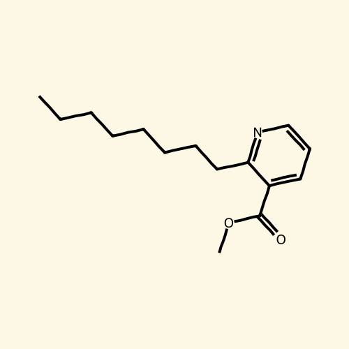 CCCCCCCCc1ncccc1C(=O)OC